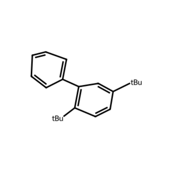 CC(C)(C)c1ccc(C(C)(C)C)c(-c2ccccc2)c1